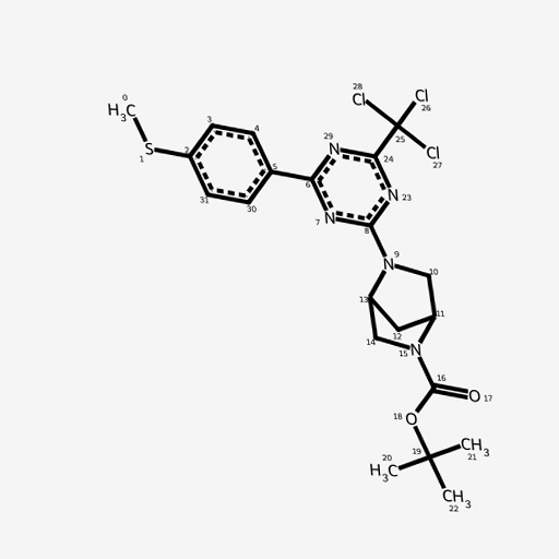 CSc1ccc(-c2nc(N3CC4CC3CN4C(=O)OC(C)(C)C)nc(C(Cl)(Cl)Cl)n2)cc1